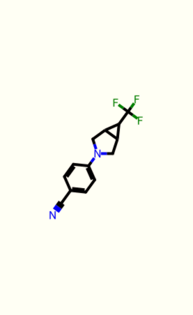 N#Cc1ccc(N2CC3C(C2)C3C(F)(F)F)cc1